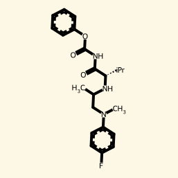 CC(CN(C)c1ccc(F)cc1)N[C@H](C(=O)NC(=O)Oc1ccccc1)C(C)C